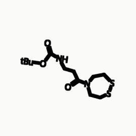 CC(C)(C)OC(=O)NCCC(=O)N1CCSSCC1